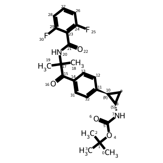 CC(C)(C)OC(=O)N[C@H]1C[C@@H]1c1ccc(C(=O)C(C)(C)NC(=O)c2c(F)cccc2F)cc1